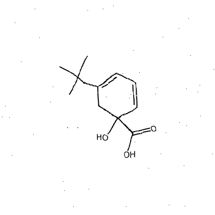 CC(C)(C)C1=CC=CC(O)(C(=O)O)C1